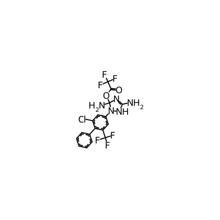 NC1=NC(N)(OC(=O)C(F)(F)F)N(c2cc(Cl)c(-c3ccccc3)c(C(F)(F)F)c2)N1